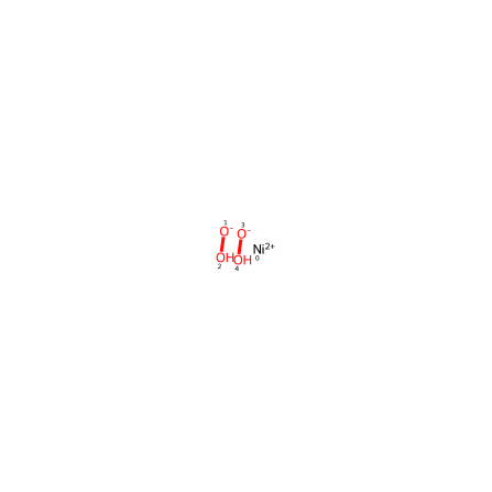 [Ni+2].[O-]O.[O-]O